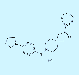 CC(c1ccc(N2CCCC2)cc1)N1CCC(F)(CC(=O)c2ccccc2)CC1.Cl